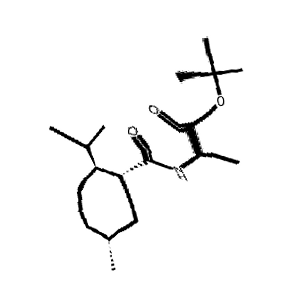 CC(NC(=O)[C@@H]1C[C@H](C)CC[C@H]1C(C)C)C(=O)OC(C)(C)C